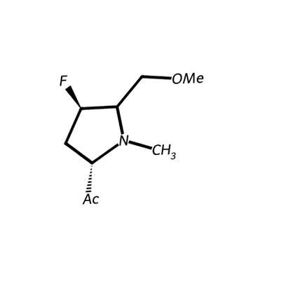 COCC1[C@H](F)C[C@@H](C(C)=O)N1C